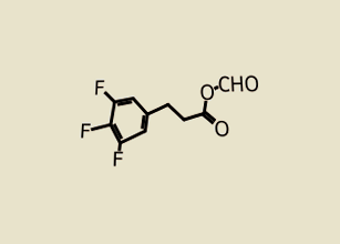 O=COC(=O)CCc1cc(F)c(F)c(F)c1